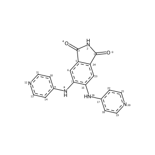 O=C1NC(=O)c2cc(Nc3ccncc3)c(Nc3ccncc3)cc21